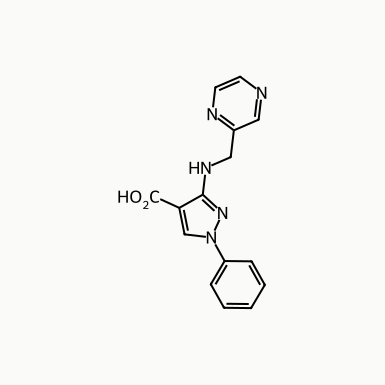 O=C(O)c1cn(-c2ccccc2)nc1NCc1cnccn1